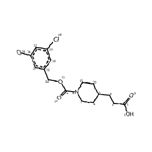 O=C(O)CCC1CCN(C(=O)OCc2cc(Cl)cc(Cl)c2)CC1